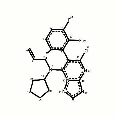 C=CCN(c1c(-c2c(F)ccc(F)c2F)c(Cl)nc2ncnn12)C1CCCC1